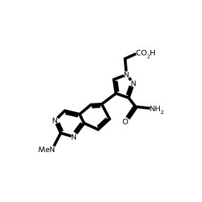 CNc1ncc2cc(-c3cn(CC(=O)O)nc3C(N)=O)ccc2n1